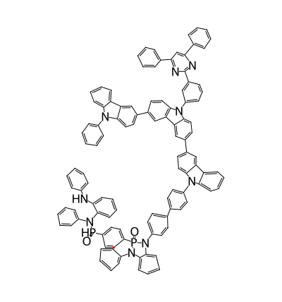 O=[PH](c1ccc(P2(=O)N(c3ccccc3)c3ccccc3N2c2ccc(-c3ccc(-n4c5ccccc5c5cc(-c6ccc7c(c6)c6cc(-c8ccc9c(c8)c8ccccc8n9-c8ccccc8)ccc6n7-c6cccc(-c7nc(-c8ccccc8)cc(-c8ccccc8)n7)c6)ccc54)cc3)cc2)cc1)N(c1ccccc1)c1ccccc1Nc1ccccc1